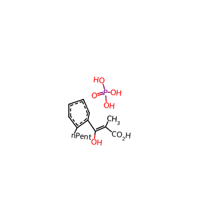 CCCCCc1ccccc1C(O)=C(C)C(=O)O.O=P(O)(O)O